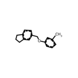 Cc1cccc(OCc2ccc3c(c2)CCC3)c1